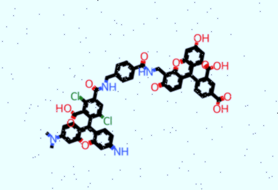 CN(C)c1ccc2c(-c3c(Cl)cc(C(=O)NCc4ccc(C(=O)NCc5c6oc7cc(O)ccc7c(-c7ccc(C(=O)O)cc7C(=O)O)c-6ccc5=O)cc4)c(Cl)c3C(=O)O)c3ccc(=N)cc-3oc2c1